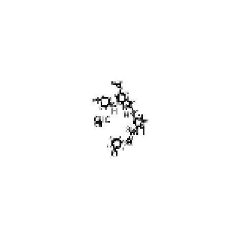 CN1CCC(Nc2cc(C3CC3)cn3cc(CNc4cc(NC(=O)[C@H]5C[C@@H]5c5cccc(Cl)c5)ncn4)nc23)CC1.O=CO